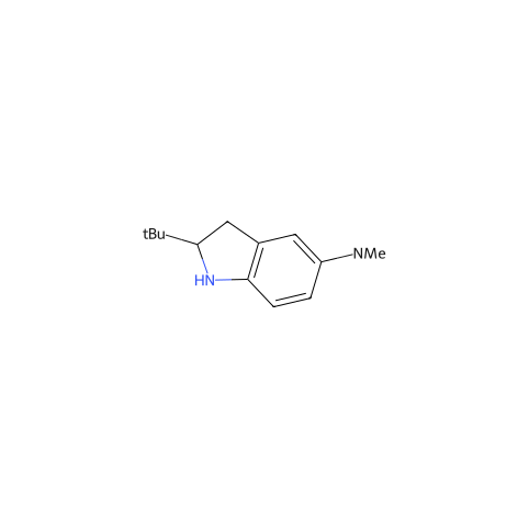 CNc1ccc2c(c1)CC(C(C)(C)C)N2